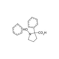 O=C(O)C1(c2ccccc2)CCCN1O.c1ccccc1